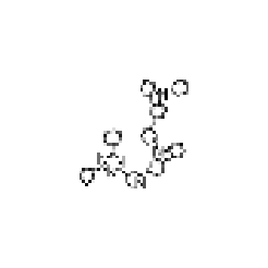 c1ccc(-c2nc(-c3ccccc3)nc(-c3ccnc(-c4ccc5c6ccccc6n(-c6cccc(-c7ccc8c(c7)c7ccccc7n8-c7ccccc7)c6)c5c4)c3)n2)cc1